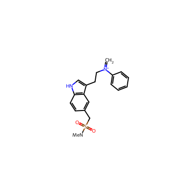 C=[N+](CCc1c[nH]c2ccc(CS(=O)(=O)NC)cc12)c1ccccc1